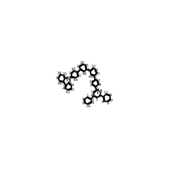 c1ccc(-c2cc(-c3ccccc3)nc(-c3ccc(-c4cccc(-c5cccc(-c6ccc(-n7c8ccccc8c8ccccc87)cc6)c5)c4)cc3)c2)cc1